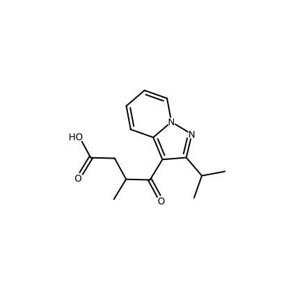 CC(CC(=O)O)C(=O)c1c(C(C)C)nn2ccccc12